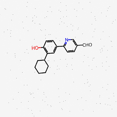 O=Cc1ccc(-c2ccc(O)c(C3CCCCC3)c2)nc1